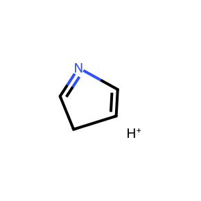 C1=CN=CC1.[H+]